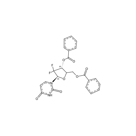 O=C(OCC1O[C@@H](n2ccc(=O)[nH]c2=O)C(F)(F)[C@@H]1OC(=O)c1ccccc1)c1ccccc1